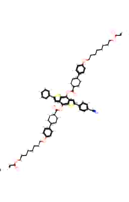 C=CC(=O)OCCCCCCCCOc1ccc(C2CCC(C(=O)Oc3c4cc(-c5ccc(C#N)cc5)sc4c(OC(=O)C4CCC(c5ccc(OCCCCCCCCOC(=O)C=C)cc5)CC4)c4cc(-c5ccccc5)sc34)CC2)cc1